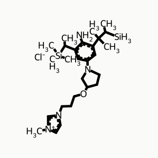 CC([SiH3])C(C)(C)c1cc(N2CCC(OCCCn3cc[n+](C)c3)C2)cc(C(C)[Si](C)(C)C)c1N.[Cl-]